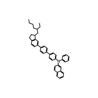 CCCCC(CC)CC1CCc2ccc(-c3ccc(-c4ccc(N(c5ccccc5)c5ccc6ccccc6c5)cc4)cc3)cc21